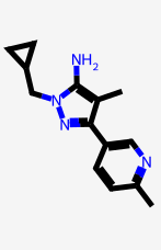 Cc1ccc(-c2nn(CC3CC3)c(N)c2C)cn1